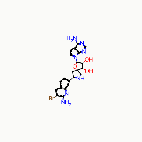 Nc1nc2cc([C@H]3C[C@@]4(CN3)O[C@@H](n3ccc5c(N)ncnc53)[C@H](O)[C@@H]4O)ccc2cc1Br